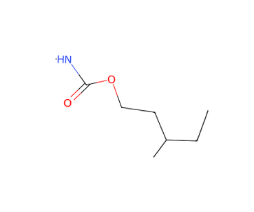 CCC(C)CCOC([NH])=O